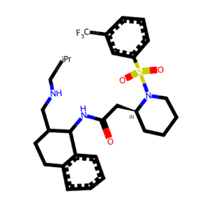 CC(C)CNCC1CCc2ccccc2C1NC(=O)C[C@@H]1CCCCN1S(=O)(=O)c1cccc(C(F)(F)F)c1